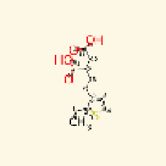 CCc1sccc1CCC(CC(=O)O)C(=O)O